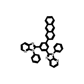 c1ccc(-n2c(-c3cc(-c4ccc5cc6ccccc6cc5c4)cc(-c4nc5cccnc5n4-c4ccccc4)c3)nc3cccnc32)cc1